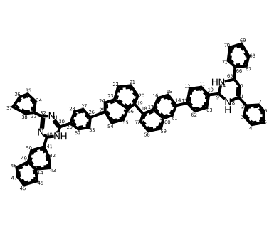 C1=C(c2ccccc2)NC(c2ccc(-c3ccc4c(-c5cccc6cc(-c7ccc(C8=NC(c9ccccc9)=NC(c9ccc%10ccccc%10c9)N8)cc7)ccc56)cccc4c3)cc2)NC1c1ccccc1